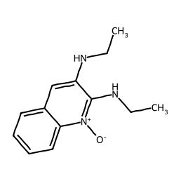 CCNc1cc2ccccc2[n+]([O-])c1NCC